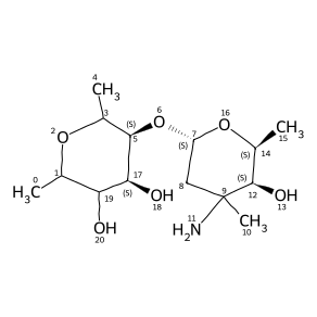 CC1OC(C)[C@@H](O[C@H]2CC(C)(N)[C@H](O)[C@H](C)O2)[C@@H](O)C1O